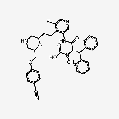 CN(C(=O)O)[C@H](C(=O)Nc1cncc(F)c1CC[C@@H]1CNC[C@@H](COc2ccc(C#N)cc2)O1)C(c1ccccc1)c1ccccc1